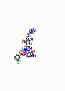 O=C1c2cc3nc(-c4c(NC[C@@H](O)c5cccc(Cl)c5)cc[nH]c4=O)[nH]c3cc2C(=O)N1CCCn1ccnc1